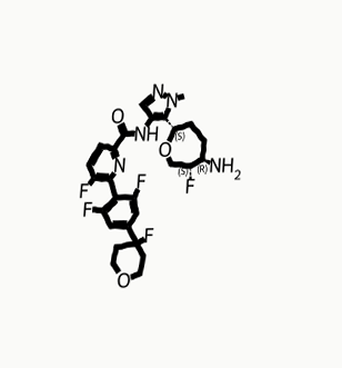 Cn1ncc(NC(=O)c2ccc(F)c(-c3c(F)cc(C4(F)CCOCC4)cc3F)n2)c1[C@@H]1CC[C@@H](N)[C@H](F)CO1